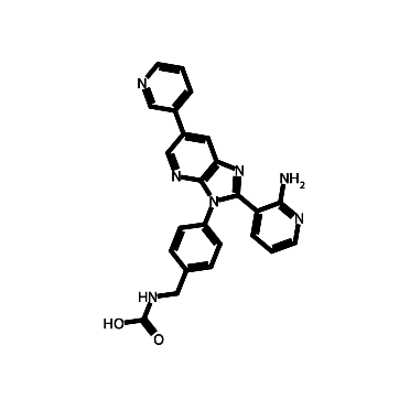 Nc1ncccc1-c1nc2cc(-c3cccnc3)cnc2n1-c1ccc(CNC(=O)O)cc1